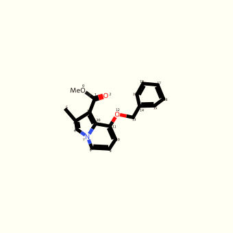 COC(=O)c1c(C)cn2cccc(OCc3ccccc3)c12